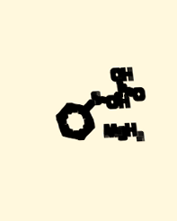 O=[PH](O)OSc1ccccc1.[MgH2]